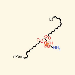 CC/C=C\C/C=C\C/C=C\CCCCCCCC(=O)O[C@H](COC(=O)CCCCCCC/C=C\C/C=C\CCCCC)COP(=O)(O)OCCN